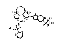 COCC1(c2ncccn2)CN(C(=O)[C@@H]2CC[C@@H]3CCCC[C@H](NC(=O)c4cc5cc(C(F)(F)P(=O)(O)O)ccc5s4)C(=O)N32)C1